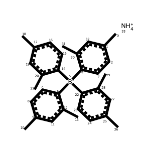 Cc1ccc([B-](c2ccc(C)cc2C)(c2ccc(C)cc2C)c2ccc(C)cc2C)c(C)c1.[NH4+]